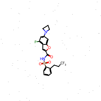 O=C(NS(=O)(=O)c1ccccc1CCC(F)(F)F)c1cc2c(F)cc(N3CCC3)cc2o1